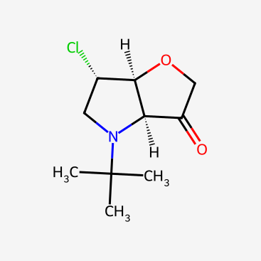 CC(C)(C)N1C[C@H](Cl)[C@H]2OCC(=O)[C@H]21